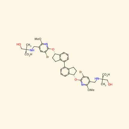 COc1nc(O[C@H]2CCc3c(-c4cccc5c4CC[C@@H]5Oc4nc(OC)c(CN[C@@](C)(CO)C(=O)O)cc4Br)cccc32)c(Br)cc1CN[C@@](C)(CO)C(=O)O